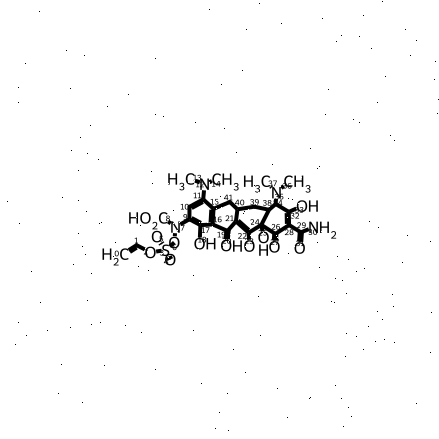 C=COS(=O)(=O)ON(C(=O)O)c1cc(N(C)C)c2c(c1O)C(=O)C1=C(O)C3(O)C(=O)C(C(N)=O)=C(O)C(N(C)C)C3CC1C2